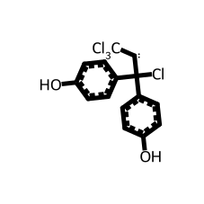 Oc1ccc(C(Cl)([C]C(Cl)(Cl)Cl)c2ccc(O)cc2)cc1